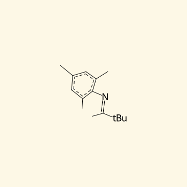 CC(=Nc1c(C)cc(C)cc1C)C(C)(C)C